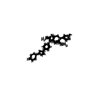 Cn1cc(N2Cc3nc(N)n(-c4ccc(-c5cnn(C6CCNCC6)c5)cc4)c3N=C2N)cn1